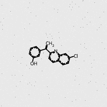 C=C(c1cccc(O)c1)c1ccc2ccc(Cl)cc2n1